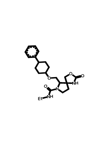 CCNC(=O)N1CCC2(COC(=O)N2)C1COC1CCC(c2ccccc2)CC1